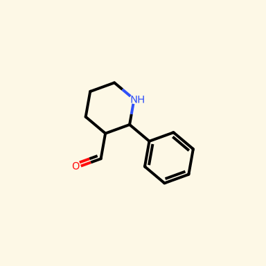 O=CC1CCCNC1c1ccccc1